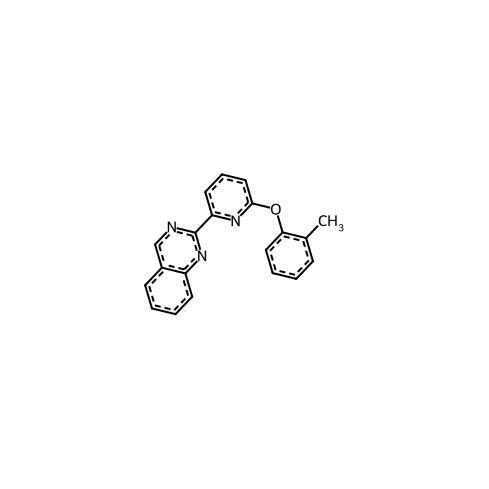 Cc1ccccc1Oc1cccc(-c2ncc3ccccc3n2)n1